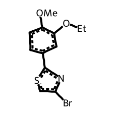 CCOc1cc(-c2nc(Br)cs2)ccc1OC